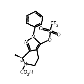 C[C@H]1c2nn(-c3ccccc3)c(OS(=O)(=O)C(F)(F)F)c2CCN1C(=O)O